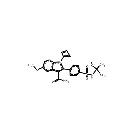 CSc1cnc2c(c1)c(C(N)=O)c(-c1ccc(S(=O)(=O)NC(C)(C)C)cc1)n2C1=CC=C1